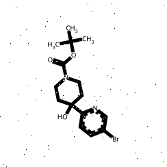 CC(C)(C)OC(=O)N1CCC(O)(c2ccc(Br)cn2)CC1